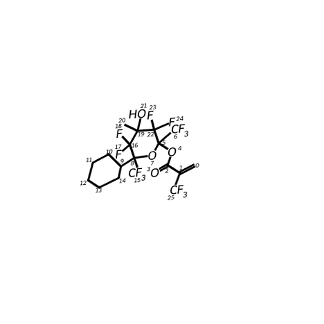 C=C(C(=O)OC1(C(F)(F)F)OC(C2CCCCC2)(C(F)(F)F)C(F)(F)C(C)(O)C1(F)F)C(F)(F)F